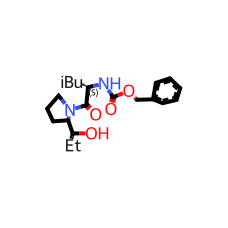 CCC(O)C1CCCN1C(=O)[C@@H](NC(=O)OCc1ccccc1)C(C)CC